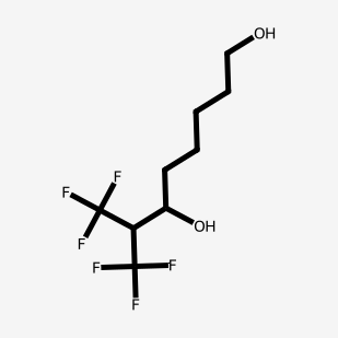 OCCCCCC(O)C(C(F)(F)F)C(F)(F)F